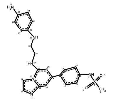 CS(=O)(=O)Nc1ccc(-c2cc3nccn3c(NCCNc3ccc(N)cn3)n2)cc1